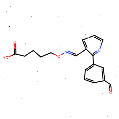 O=Cc1cccc(-c2ncccc2C=NOCCCCC(=O)O)c1